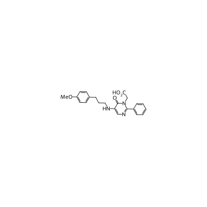 COc1ccc(CCCNc2cnc(-c3ccccc3)n(CC(=O)O)c2=O)cc1